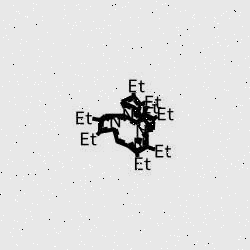 CCc1c(CC)c2cc3c(CC)c(CC)c4cc5c(CC)c(CC)c6cc7c(CC)c(CC)c(cc1n2n65)n7n34